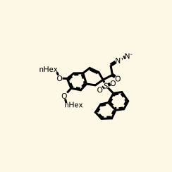 CCCCCCOc1cc2c(cc1OCCCCCC)CC(C(=O)C=[N+]=[N-])(S(=O)(=O)c1cccc3ccccc13)C=C2